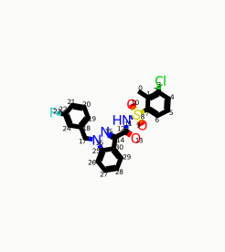 Cc1c(Cl)cccc1S(=O)(=O)NC(=O)c1nn(Cc2cccc(F)c2)c2ccccc12